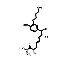 COCCCOc1cc(C(O)[C@@H](CC=CC[C@H](C(=O)N(C)C)C(C)C)C(C)C)ccc1OC